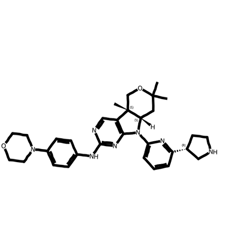 CC1(C)C[C@@H]2N(c3cccc([C@@H]4CCNC4)n3)c3nc(Nc4ccc(N5CCOCC5)cc4)ncc3[C@]2(C)CO1